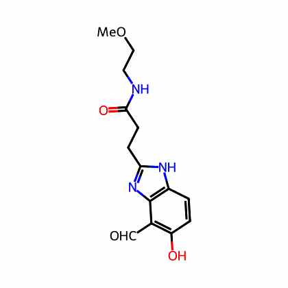 COCCNC(=O)CCc1nc2c(C=O)c(O)ccc2[nH]1